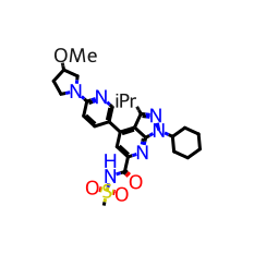 COC1CCN(c2ccc(-c3cc(C(=O)NS(C)(=O)=O)nc4c3c(C(C)C)nn4C3CCCCC3)cn2)C1